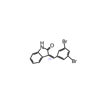 O=C1Nc2ccccc2/C1=C/c1cc(Br)cc(Br)c1